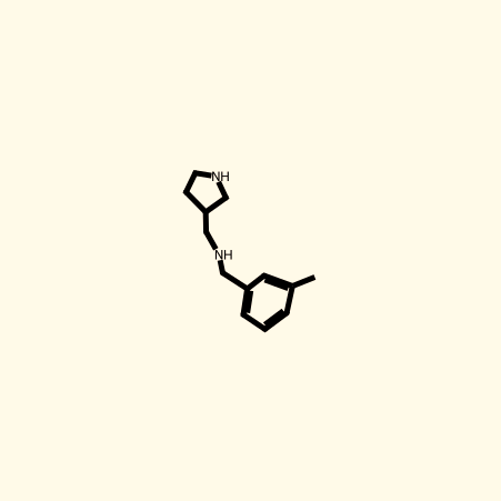 Cc1cccc(CNCC2CCNC2)c1